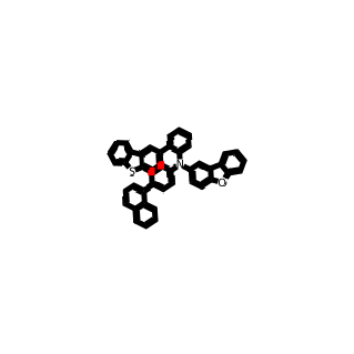 c1ccc(N(c2ccc(-c3cccc4ccccc34)cc2)c2ccc3oc4ccccc4c3c2)c(-c2ccc3sc4ccccc4c3c2)c1